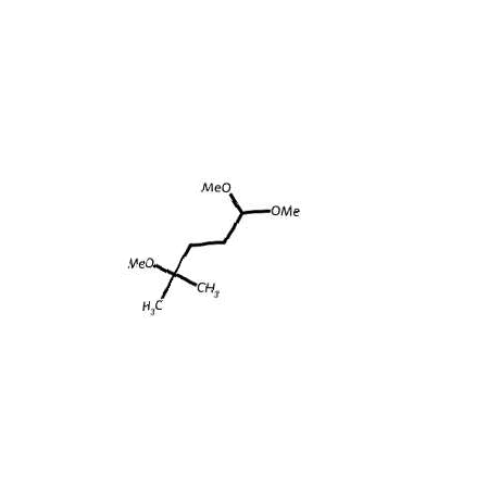 COC(CCC(C)(C)OC)OC